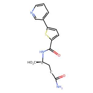 NC(=O)CC[C@H](NC(=O)c1ccc(-c2cccnc2)s1)C(=O)O